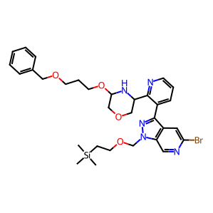 C[Si](C)(C)CCOCn1nc(-c2cccnc2C2COCC(OCCCOCc3ccccc3)N2)c2cc(Br)ncc21